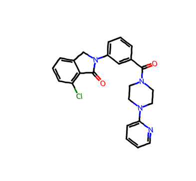 O=C(c1cccc(N2Cc3cccc(Cl)c3C2=O)c1)N1CCN(c2ccccn2)CC1